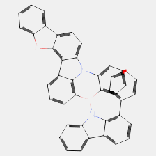 c1ccc(-c2cccc3c4ccccc4n(B4c5ccccc5-n5c6ccc7c8ccccc8oc7c6c6cccc4c65)c23)cc1